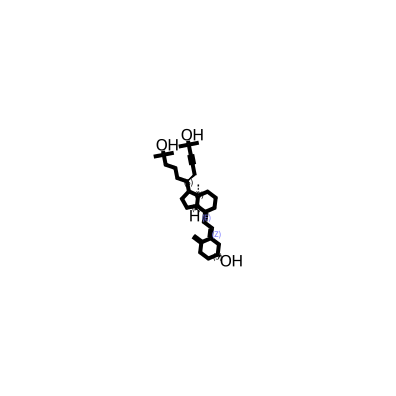 C=C1CC[C@H](O)C/C1=C/C=C1\CCC[C@]2(C)C([C@H](CC#CC(C)(C)O)CCCC(C)(C)O)CC[C@@H]12